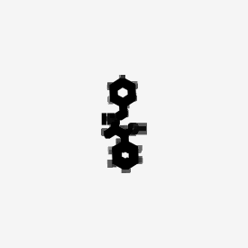 CC(NCC1CCCCC1)[C@@H](O)c1ccccc1